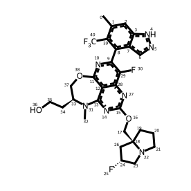 Cc1cc2[nH]ncc2c(-c2nc3c4c(nc(OC[C@@]56CCCN5C[C@H](F)C6)nc4c2F)N(C)[C@@H](CCO)CO3)c1C(F)(F)F